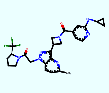 Cc1ccc2c(n1)c(C1CN(C(=O)c3ccnc(NC4CC4)c3)C1)nn2CC(=O)N1CCC[C@H]1C(F)(F)F